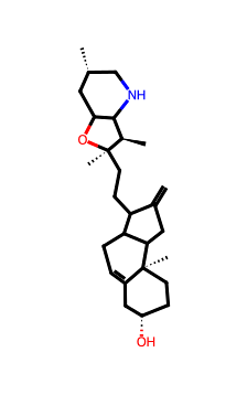 C=C1CC2C(CC=C3C[C@@H](O)CC[C@@]32C)C1CC[C@@]1(C)OC2C[C@H](C)CNC2[C@H]1C